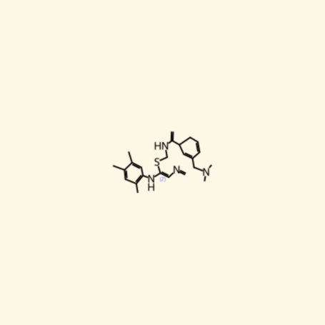 C=N/C=C(/Nc1cc(C)c(C)cc1C)SCNC(=C)C1C=C(CN(C)C)C=CC1